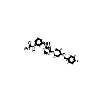 CC(C)C(=O)Nc1cccc(Nc2ncnc(N3CCC(OCc4ccccc4)CC3)n2)c1